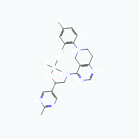 Cc1ncc(C(CNc2ncnc3c2CN(c2ccc(Cl)cc2C#N)CC3)O[Si](C)(C)C(C)(C)C)cn1